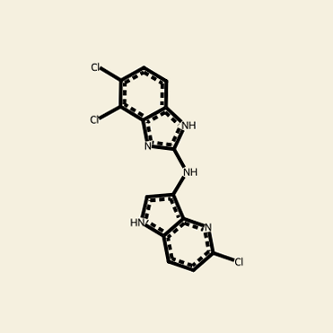 Clc1ccc2[nH]cc(Nc3nc4c(Cl)c(Cl)ccc4[nH]3)c2n1